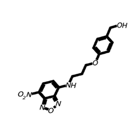 O=[N+]([O-])c1ccc(NCCCOc2ccc(CO)cc2)c2nonc12